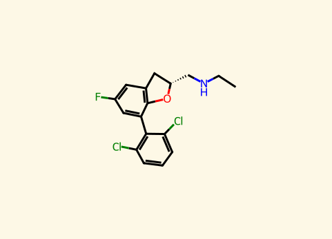 CCNC[C@H]1Cc2cc(F)cc(-c3c(Cl)cccc3Cl)c2O1